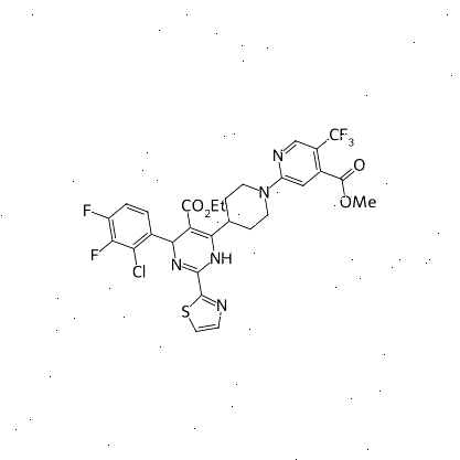 CCOC(=O)C1=C(C2CCN(c3cc(C(=O)OC)c(C(F)(F)F)cn3)CC2)NC(c2nccs2)=NC1c1ccc(F)c(F)c1Cl